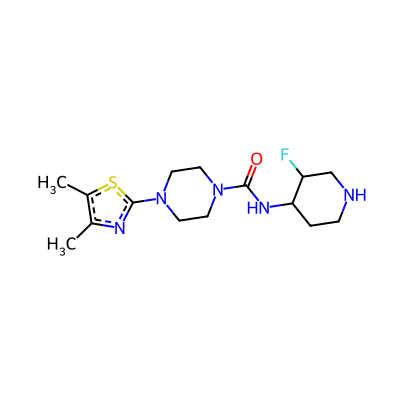 Cc1nc(N2CCN(C(=O)NC3CCNCC3F)CC2)sc1C